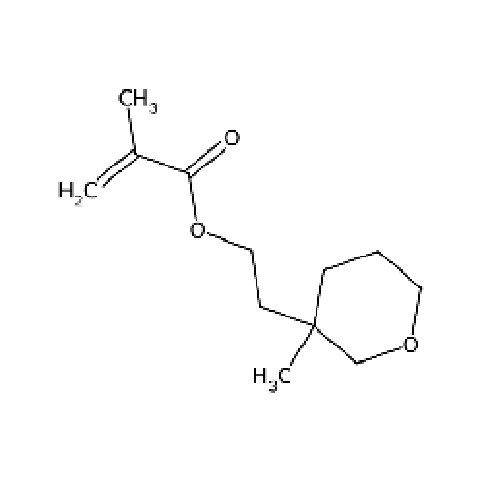 C=C(C)C(=O)OCCC1(C)CCCOC1